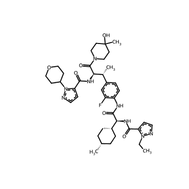 CCn1nccc1C(=O)N[C@H](C(=O)Nc1ccc([C@@H](C)[C@@H](NC(=O)c2ccnn2C2CCOCC2)C(=O)N2CCC(C)(O)CC2)cc1F)[C@H]1CC[C@@H](C)CC1